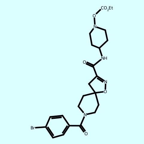 CCOC(=O)ON1CCC(NC(=O)C2=NOC3(CCN(C(=O)c4ccc(Br)cc4)CC3)C2)CC1